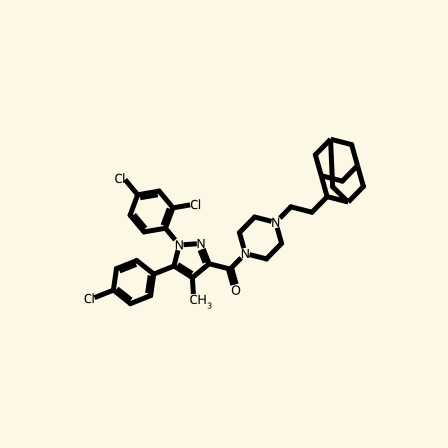 Cc1c(C(=O)N2CCN(CCC3C4CC5CC(C4)CC3C5)CC2)nn(-c2ccc(Cl)cc2Cl)c1-c1ccc(Cl)cc1